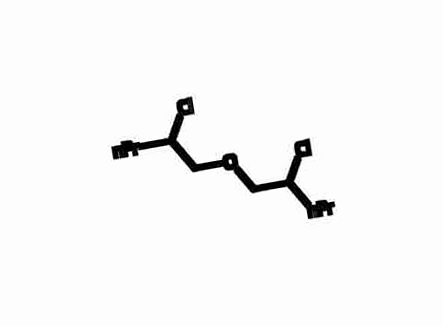 CCCC(Cl)COCC(Cl)CCC